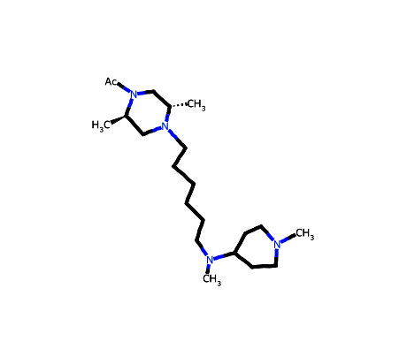 CC(=O)N1C[C@H](C)N(CCCCCCN(C)C2CCN(C)CC2)C[C@H]1C